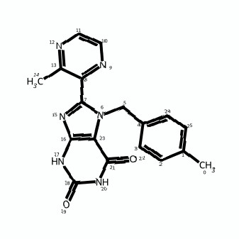 Cc1ccc(Cn2c(-c3nccnc3C)nc3[nH]c(=O)[nH]c(=O)c32)cc1